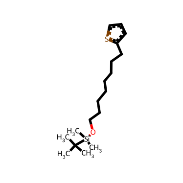 CC(C)(C)[Si](C)(C)OCCCCCCCCc1cccs1